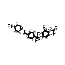 CC[C@H]1CC[C@H](CCc2ccc(C(F)(F)Oc3ccc(OC(F)F)c(F)c3)cc2)CC1